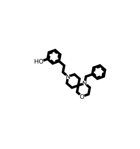 Oc1cccc(CCN2CCC3(CC2)COCCN3Cc2ccccc2)c1